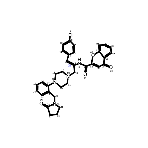 O=C(N/C(=C\c1ccc(Cl)cc1)CN1CCN(c2ccccc2CN2CCCC2=O)CC1)c1cc(=O)c2ccccc2o1